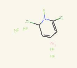 B.F.F.F.F.FN1C(Cl)=CC=CC1Cl